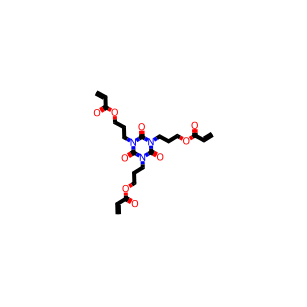 C=CC(=O)OCCCn1c(=O)n(CCCOC(=O)C=C)c(=O)n(CCCOC(=O)C=C)c1=O